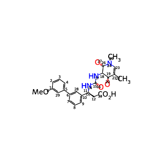 COc1cccc(-c2cccc([C@H](CC(=O)O)NC(=O)NC3C(=O)C(C)=CN(C)C3=O)c2)c1